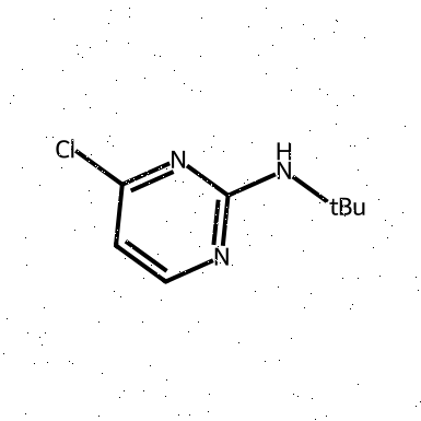 CC(C)(C)Nc1nccc(Cl)n1